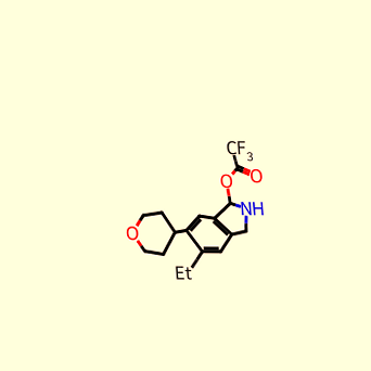 CCc1cc2c(cc1C1CCOCC1)C(OC(=O)C(F)(F)F)NC2